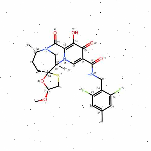 CO[C@@H]1CS[C@]2(CC[C@H](C)N3C[C@H]2n2cc(C(=O)NCc4c(F)cc(C)cc4F)c(=O)c(O)c2C3=O)O1